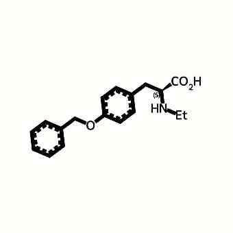 CCN[C@@H](Cc1ccc(OCc2ccccc2)cc1)C(=O)O